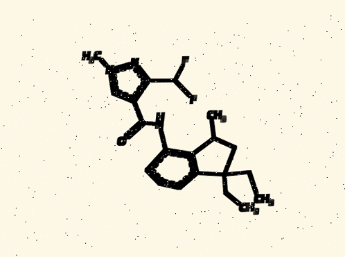 CCC1(CC)CC(C)c2c(NC(=O)c3cn(C)nc3C(F)F)cccc21